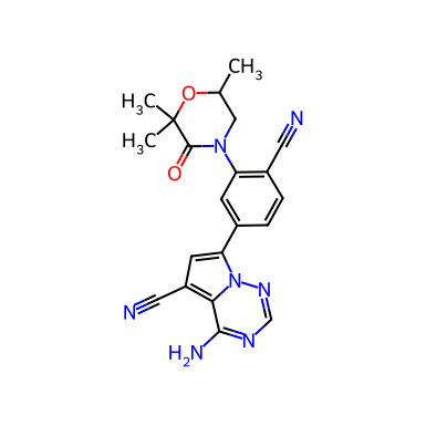 CC1CN(c2cc(-c3cc(C#N)c4c(N)ncnn34)ccc2C#N)C(=O)C(C)(C)O1